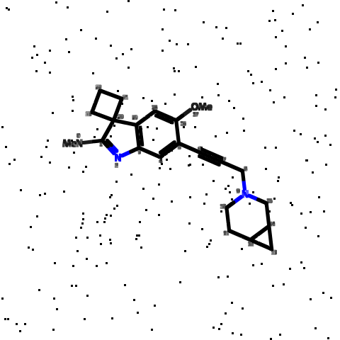 CNC1=Nc2cc(C#CCN3CCC4CC4C3)c(OC)cc2C12CCC2